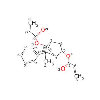 C=CC(=O)OC1CC2CC1C(C)(c1ccccc1)C2OC(=O)C=C